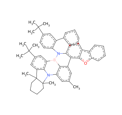 Cc1cc2c3c(c1)N1c4c(cc(C(C)(C)C)cc4C4(C)CCCCC14C)B3N(c1ccc(C(C)(C)C)cc1-c1ccccc1)c1ccc3c(oc4ccccc43)c1-2